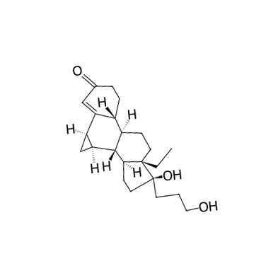 CC[C@]12CC[C@H]3[C@@H]([C@H]4C[C@H]4C4=CC(=O)CC[C@@H]43)[C@@H]1CC[C@@]2(O)CCCO